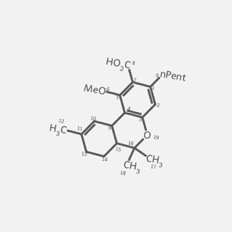 CCCCCc1cc2c(c(OC)c1C(=O)O)C1C=C(C)CCC1C(C)(C)O2